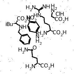 CC[C@H](C)[C@H](NCc1ccccc1)C(=O)O.Cl.N=C(N)NCCC[C@H](N)C(=O)O.NC(=O)CC[C@H](N)C(=O)O.NCC(=O)O.Nc1ccc([N+](=O)[O-])cc1